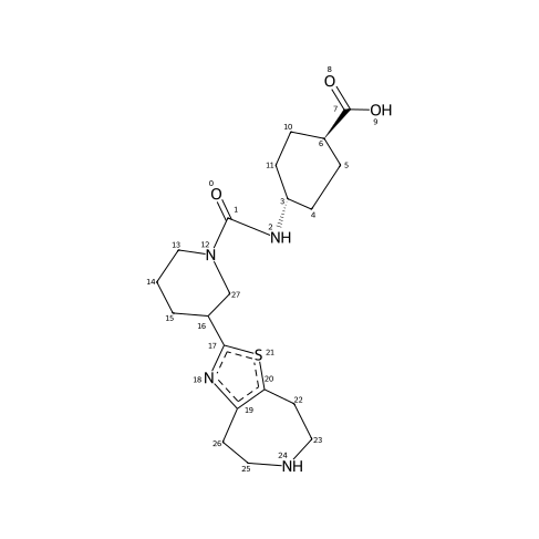 O=C(N[C@H]1CC[C@H](C(=O)O)CC1)N1CCCC(c2nc3c(s2)CCNCC3)C1